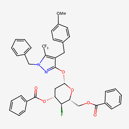 COc1ccc(Cc2c(O[C@H]3C[C@@H](OC(=O)c4ccccc4)[C@H](F)[C@@H](COC(=O)c4ccccc4)O3)nn(Cc3ccccc3)c2C(F)(F)F)cc1